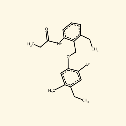 CCC(=O)Nc1cccc(CC)c1COc1cc(C)c(CC)cc1Br